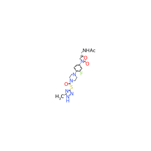 CC(=O)NC[C@H]1CN(c2ccc(N3CCN(C(=O)Sc4n[nH]c(C)n4)CC3)c(F)c2)C(=O)O1